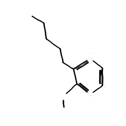 CCCCCc1nccnc1OC